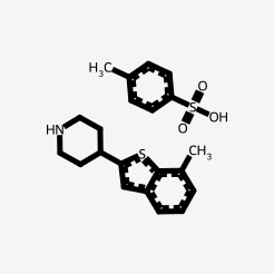 Cc1ccc(S(=O)(=O)O)cc1.Cc1cccc2cc(C3CCNCC3)sc12